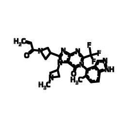 C=CC(=O)N1CC(c2nc3nc(C(F)(F)F)n(-c4c(C)ccc5[nH]ncc45)c(=O)c3n2C2CN(C)C2)C1